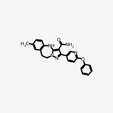 Cc1ccc2c(c1)CCn1nc(-c3ccc(Oc4ccccc4)nc3)c(C(N)=O)c1N2